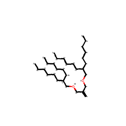 C=C(COCC(CCCCCC)CCCCCC)COCC(CCCCCC)CCCCCC